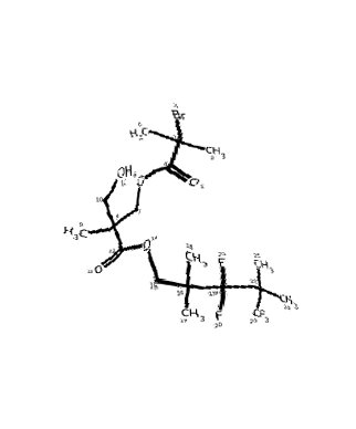 CC(C)(Br)C(=O)OCC(C)(CO)C(=O)OCC(C)(C)C(F)(F)C(C)(C)C(F)(F)F